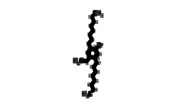 C=Cc1cc(CCCCCCCC)c(Br)cc1CCCCCCCC